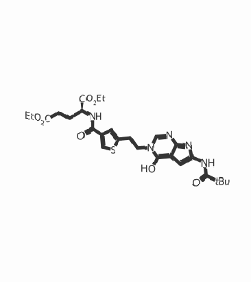 CCOC(=O)CC[C@H](NC(=O)c1csc(CCn2cnc3nc(NC(=O)C(C)(C)C)cc-3c2O)c1)C(=O)OCC